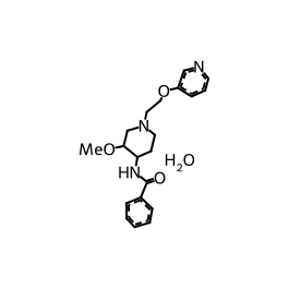 COC1CN(CCOc2cccnc2)CCC1NC(=O)c1ccccc1.O